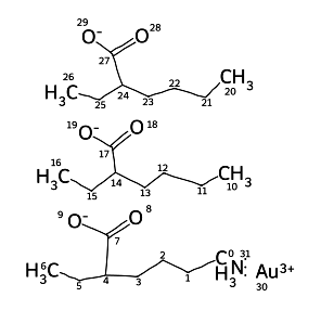 CCCCC(CC)C(=O)[O-].CCCCC(CC)C(=O)[O-].CCCCC(CC)C(=O)[O-].[Au+3].[N]